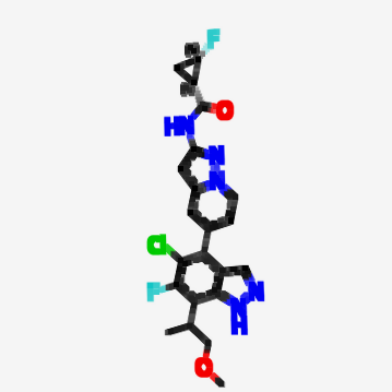 COCC(C)c1c(F)c(Cl)c(-c2ccn3nc(NC(=O)[C@@H]4C[C@@H]4F)cc3c2)c2cn[nH]c12